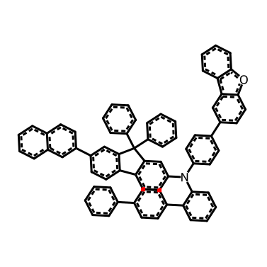 c1ccc(-c2ccc(-c3ccccc3N(c3ccc(-c4ccc5oc6ccccc6c5c4)cc3)c3ccc4c(c3)C(c3ccccc3)(c3ccccc3)c3cc(-c5ccc6ccccc6c5)ccc3-4)cc2)cc1